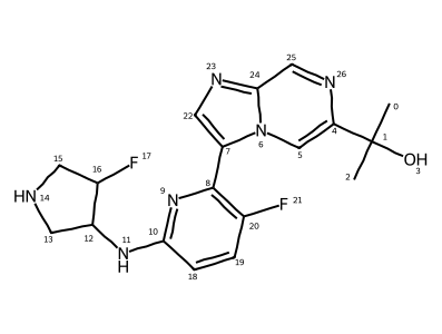 CC(C)(O)c1cn2c(-c3nc(NC4CNCC4F)ccc3F)cnc2cn1